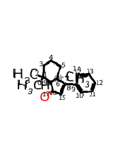 CC1(C)CCC[C@@]2(C)C(c3ccccc3)=CC(=O)[C@@H]12